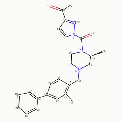 CC(=O)c1ccn(C(=O)N2CCN(Cc3ccc(-c4ccccc4)cc3C)C[C@@H]2C)n1